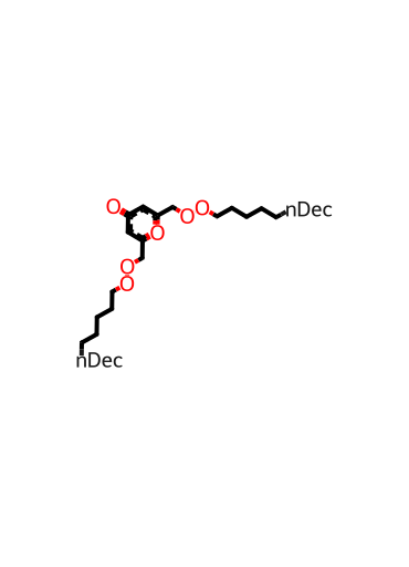 CCCCCCCCCCCCCCCOOCc1cc(=O)cc(COOCCCCCCCCCCCCCCC)o1